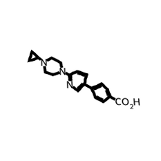 O=C(O)c1ccc(-c2ccc(N3CCN(C4CC4)CC3)nc2)cc1